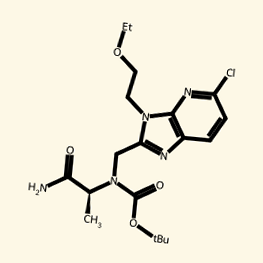 CCOCCn1c(CN(C(=O)OC(C)(C)C)[C@@H](C)C(N)=O)nc2ccc(Cl)nc21